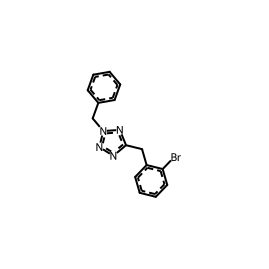 Brc1ccccc1Cc1nnn(Cc2ccccc2)n1